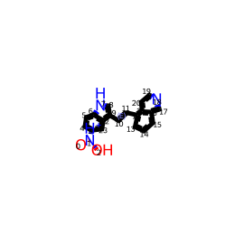 [O-][NH+](O)c1ccc2[nH]cc(/C=C/c3cccc4cnccc34)c2c1